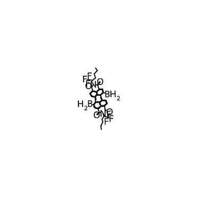 Bc1cc2c3c(ccc4c5c(B)cc6c7c(ccc(c1c34)c75)C(=O)N(C(CCCC)C(F)(F)F)C6=O)C(=O)N(C(CCCC)C(F)(F)F)C2=O